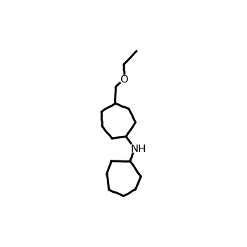 CCOCC1CCCC(NC2CCCCCC2)CC1